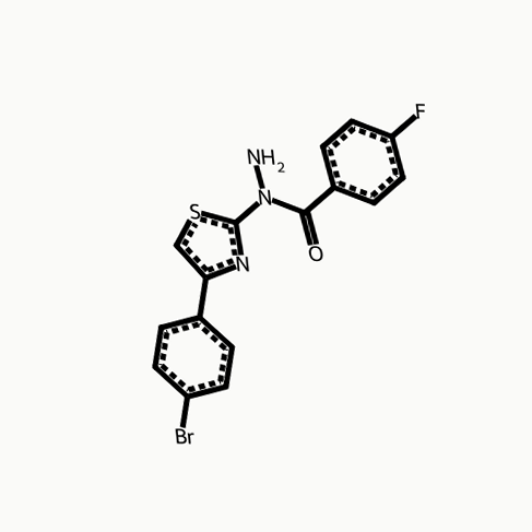 NN(C(=O)c1ccc(F)cc1)c1nc(-c2ccc(Br)cc2)cs1